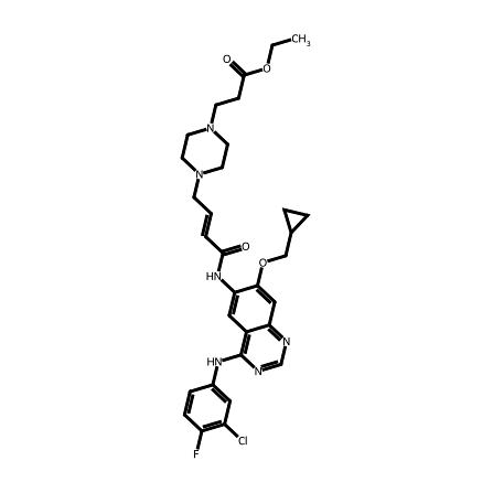 CCOC(=O)CCN1CCN(CC=CC(=O)Nc2cc3c(Nc4ccc(F)c(Cl)c4)ncnc3cc2OCC2CC2)CC1